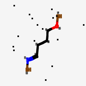 SN=CCCCOS